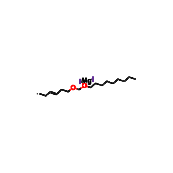 [CH2]C/C=C/CCOCOCCCCCCCCC.[I][Mg][I]